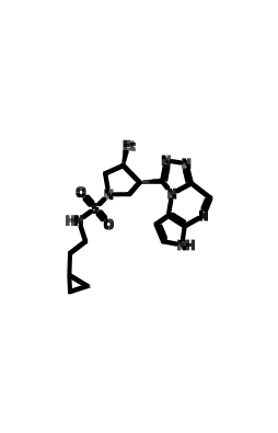 CC[C@@H]1CN(S(=O)(=O)NCCC2CC2)C[C@@H]1c1nnc2cnc3[nH]ccc3n12